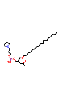 CCCCCCCCCCCCCCCCCOCC(COP(O)OCCCN1CCCC1)CC(C)=O